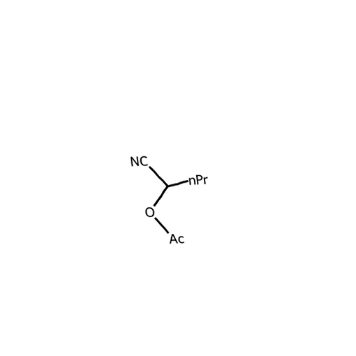 [CH2]C(=O)OC(C#N)CCC